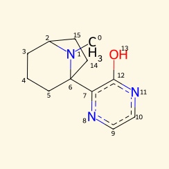 CN1C2CCCC1(c1nccnc1O)CC2